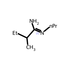 CCC/N=C(\N)C(C)CC